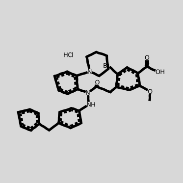 COc1cc(CC(=O)N(Nc2ccc(Cc3ccccc3)cc2)c2ccccc2N2CCCCC2)c(Br)cc1C(=O)O.Cl